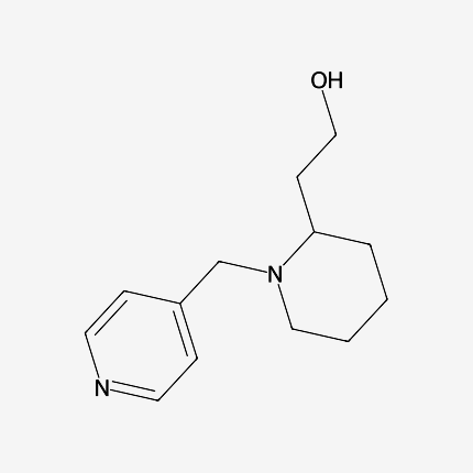 OCCC1CCCCN1Cc1ccncc1